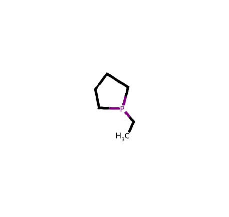 CCP1CCCC1